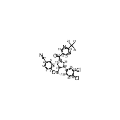 C[C@H](Oc1ccc(C#N)cn1)[C@H]1CN(C(=O)c2cnc(C(C)(C)C)nc2)C[C@@H]1c1ccc(Cl)c(Cl)c1